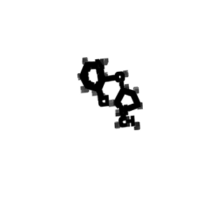 CN1CC[C@@H](Oc2ncccc2Cl)C1